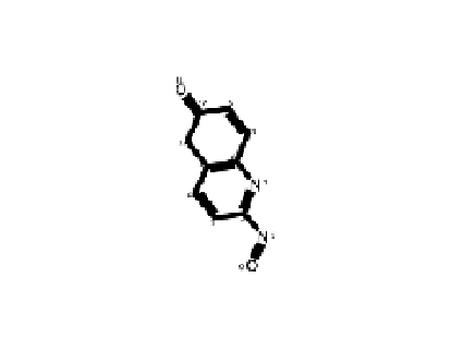 O=Nc1ccc2c(n1)C=CC(=O)C2